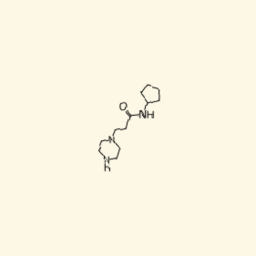 O=C(CCN1CCNCC1)NC1CCCC1